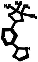 CC1(C)OB(c2cncc(C3NC=CO3)c2)OC1(C)C